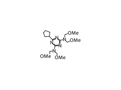 COCN(COC)c1nc(C2CCCC2)nc(N(COC)COC)n1